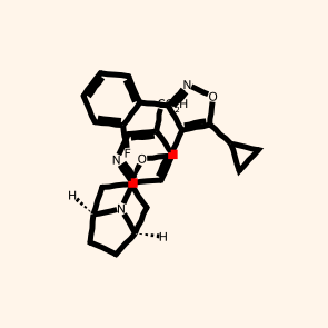 O=C(O)c1ccc(N2[C@@H]3CC[C@H]2C[C@@H](OCc2c(-c4ccccc4F)noc2C2CC2)C3)nc1